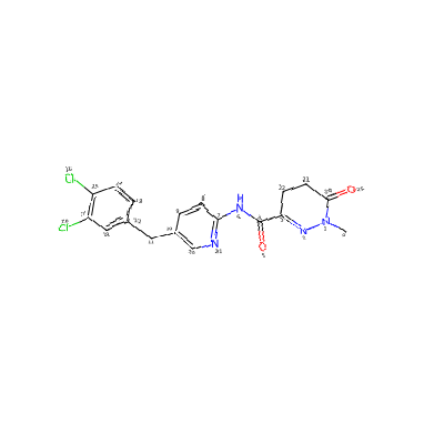 CN1N=C(C(=O)Nc2ccc(Cc3ccc(Cl)c(Cl)c3)cn2)CCC1=O